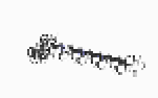 CC(C)=CCC/C(C)=C/CC/C(C)=C/CC/[N+](C)=C/COP(=O)(O)OP(=O)(O)O